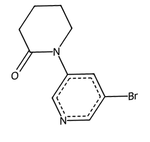 O=C1CCCCN1c1cncc(Br)c1